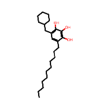 CCCCCCCCCCCc1cc(CC2CCCCC2)c(O)c(O)c1O